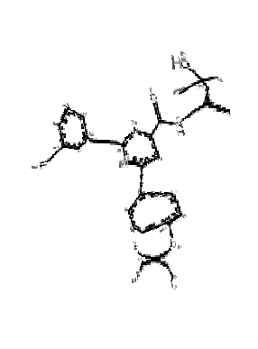 CC(NC(=O)c1cc(-c2ccc(OC(F)(F)F)cc2)nc(-c2cccc(F)c2)n1)C(C)(C)O